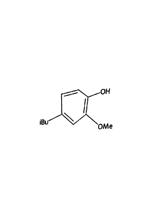 CCC(C)c1ccc(O)c(OC)c1